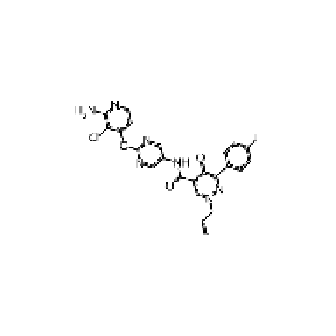 C=CCn1cc(C(=O)Nc2cnc(Oc3ccnc(N)c3Cl)nc2)c(=O)c(-c2ccc(F)cc2)n1